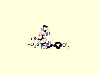 CCCC[C@@H](C(=O)C(=O)Nc1nccs1)N(C(=O)O)C(Cn1ccc(-c2ccc(C(F)(F)F)cc2)n1)C(C)(C)C